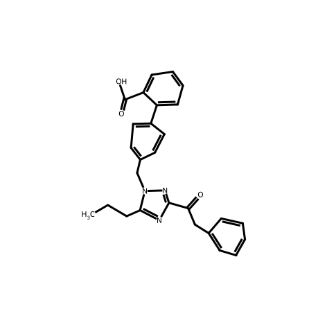 CCCc1nc(C(=O)Cc2ccccc2)nn1Cc1ccc(-c2ccccc2C(=O)O)cc1